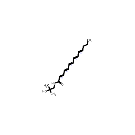 CCC/C=C/C=C/C=C/C=C/C=C/C(=O)NCC(C)(C)O